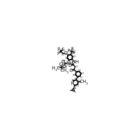 Cc1cc(C2CC2)ncc1-c1cccc(C(=O)CC(=O)Nc2cc(C(F)(F)F)c(OCC(F)(F)F)cc2NC(=O)OC(C)(C)C)c1